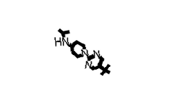 CC(C)NC1CCN(c2ncc(C(C)(C)C)cn2)CC1